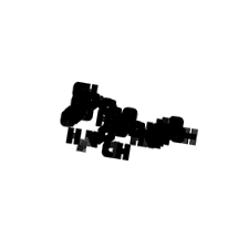 COc1ccc(-c2ccc(C[C@H](NC(=O)C3CCC(CN)CC3)C(=O)Nc3ccc(-c4nc(C(F)(F)C(F)(F)C(=O)O)n[nH]4)cc3)cc2)cc1S(=O)(=O)N1CCOCC1.Cl